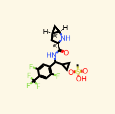 CS(=O)(=O)O.O=C(NC(c1cc(F)c(C(F)(F)F)cc1F)C1CC1)[C@H]1C[C@H]2C[C@H]2N1